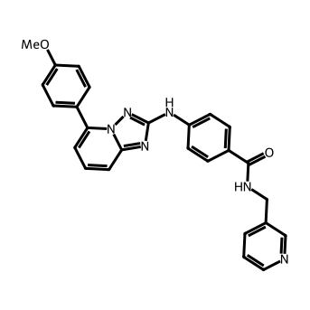 COc1ccc(-c2cccc3nc(Nc4ccc(C(=O)NCc5cccnc5)cc4)nn23)cc1